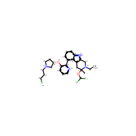 CC1(OC(F)F)Cc2c([nH]c3cccc(-c4ncccc4O[C@H]4CCN(CCCF)C4)c23)CN1CC(F)(F)F